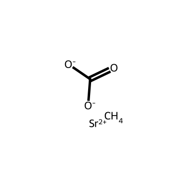 C.O=C([O-])[O-].[Sr+2]